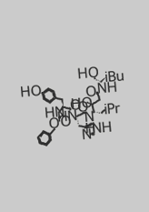 CC[C@H](C)[C@@H](CO)NC(=O)C[C@H](O)[C@H](CC(C)C)NC(=O)[C@H](Cc1c[nH]cn1)NC(=O)[C@H](Cc1ccc(O)cc1)NC(=O)OCc1ccccc1